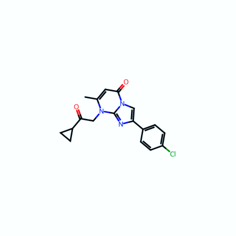 Cc1cc(=O)n2cc(-c3ccc(Cl)cc3)nc2n1CC(=O)C1CC1